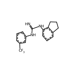 N=C(Nc1cccc(C(F)(F)F)c1)Nc1cccc2c1CCC2